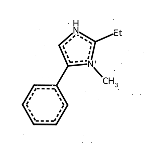 CCc1[nH]cc(-c2ccccc2)[n+]1C